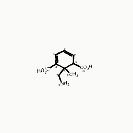 CC1(CN)C(C(=O)O)=CC=CC1C(=O)O